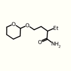 CCC(CCOC1CCCCO1)C(N)=O